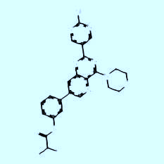 CC(F)C(=O)Nc1cccc(-c2cnc3c(N4CCOCC4)nc(-c4cnc(N)nc4)nc3c2)c1